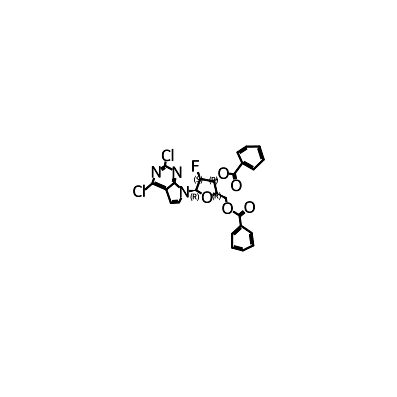 O=C(OC[C@H]1O[C@@H](n2ccc3c(Cl)nc(Cl)nc32)[C@@H](F)[C@@H]1OC(=O)c1ccccc1)c1ccccc1